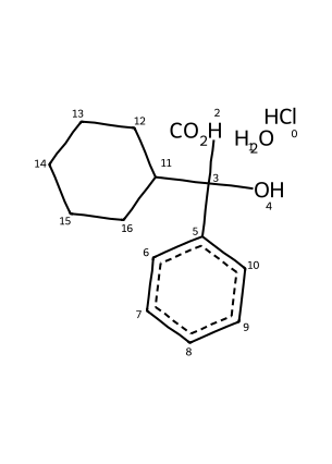 Cl.O.O=C(O)C(O)(c1ccccc1)C1CCCCC1